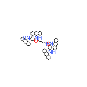 C1=CC(Nc2c3ccccc3cc3ccccc23)(OCCCCCCOC2(Nc3c4ccccc4cc4ccccc34)C=CC(Nc3c4ccccc4cc4ccccc34)=CC2)CC=C1Nc1c2ccccc2cc2ccccc12